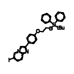 CC(C)(C)[Si](OCCOc1ccc(-c2cn3cc(I)ccc3n2)cc1)(c1ccccc1)c1ccccc1